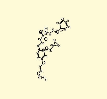 COCCOc1ccc(CCCS(=O)(=O)NCCOc2ccccc2)c(OCC2CC2)c1